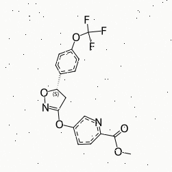 COC(=O)c1ccc(OC2=NO[C@H](c3ccc(OC(F)(F)F)cc3)C2)cn1